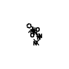 CCn1c(=O)n(-c2cnn(CC3=C(C)N=C3C)c2)c(=O)n1Cc1ccccc1